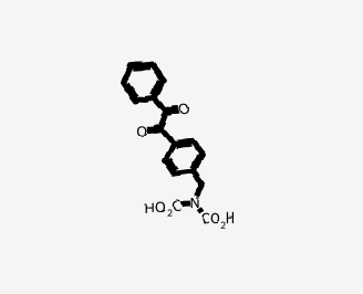 O=C(C(=O)c1ccc(CN(C(=O)O)C(=O)O)cc1)c1ccccc1